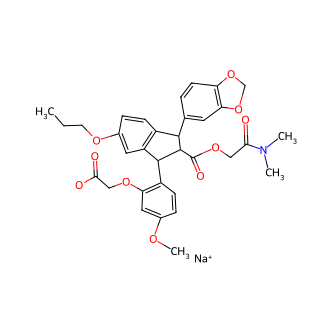 CCCOc1ccc2c(c1)C(c1ccc(OC)cc1OCC(=O)[O-])C(C(=O)OCC(=O)N(C)C)C2c1ccc2c(c1)OCO2.[Na+]